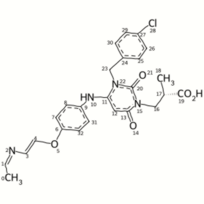 C/C=N\C=C\Oc1ccc(Nc2cc(=O)n(C[C@H](C)C(=O)O)c(=O)n2Cc2ccc(Cl)cc2)cc1